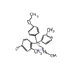 CCOc1ccc([C@@](C/C=N/O)(c2ccnc(C)c2)c2ccc(Cl)cc2C)cc1